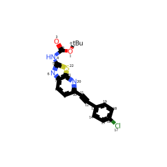 CC(C)(C)OC(=O)Nc1nc2ccc(C#Cc3ccc(Cl)cc3)nc2s1